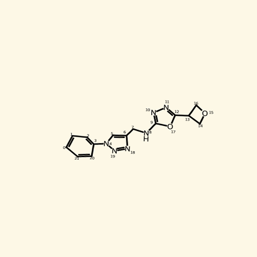 c1ccc(-n2cc(CNc3nnc(C4COC4)o3)nn2)cc1